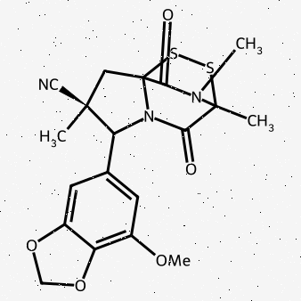 COc1cc(C2N3C(=O)C4(C)SSC3(C[C@]2(C)C#N)C(=O)N4C)cc2c1OCO2